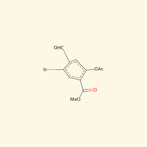 COC(=O)c1cc(Br)c(C=O)cc1OC(C)=O